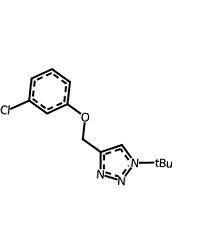 CC(C)(C)n1cc(COc2cccc(Cl)c2)nn1